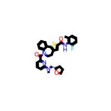 Cc1cccc(F)c1NC(=O)c1cc2c(s1)-c1ccccc1N(C(=O)c1cccc(N(C)C[C@@H]3CCCO3)n1)CC2